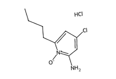 CCCCc1cc(Cl)cc(N)[n+]1[O-].Cl